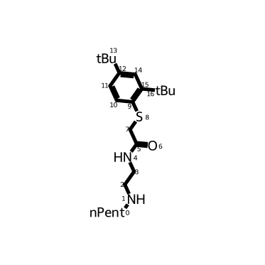 CCCCCNCCNC(=O)CSc1ccc(C(C)(C)C)cc1C(C)(C)C